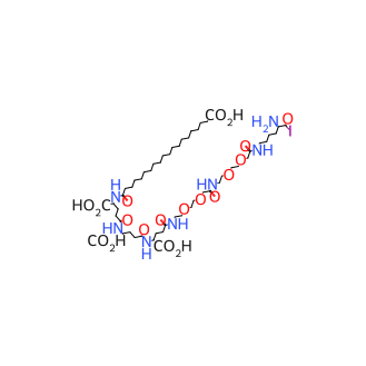 N[C@@H](CCCCNC(=O)COCCOCCNC(=O)COCCOCCNC(=O)CC[C@H](NC(=O)CC[C@H](NC(=O)CC[C@H](NC(=O)CCCCCCCCCCCCCCCCCCC(=O)O)C(=O)O)C(=O)O)C(=O)O)C(=O)I